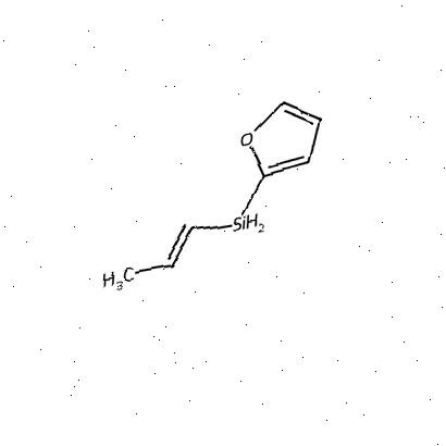 CC=C[SiH2]c1ccco1